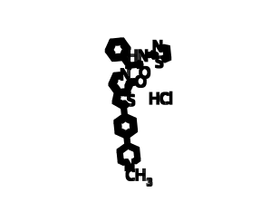 CN1CCC(c2ccc(-c3cc4ccn(C(C(=O)Nc5nccs5)c5ccccc5)c(=O)c4s3)cc2)CC1.Cl